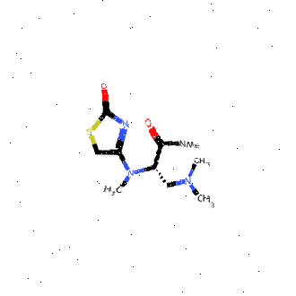 CNC(=O)[C@H](CN(C)C)N(C)C1=NC(=O)SC1